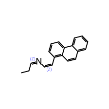 CC/C=N\C=C/c1cccc2c1ccc1ccccc12